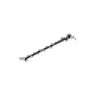 CS(=O)(=O)SCC(=O)NCCOCCOCCOCCOCCOCCOCCOCCOCCOCCOCCOCCOCCC(=O)O